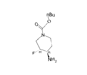 CCCCOC(=O)N1CC[C@@H](N)[C@H](F)C1